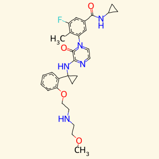 COCCNCCOc1ccccc1C1(Nc2nccn(-c3cc(C(=O)NC4CC4)cc(F)c3C)c2=O)CC1